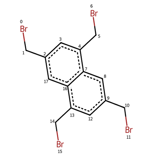 BrCc1cc(CBr)c2cc(CBr)cc(CBr)c2c1